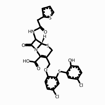 O=C(Cc1cccs1)NC1C(=O)N2C(C(=O)O)=C(COc3ccc(Cl)cc3Sc3cc(Cl)ccc3O)CS[C@@H]12